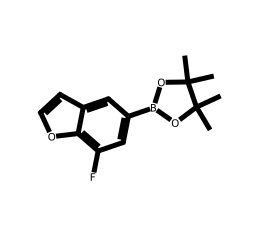 CC1(C)OB(c2cc(F)c3occc3c2)OC1(C)C